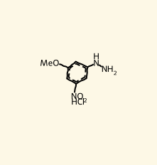 COc1cc(NN)cc([N+](=O)[O-])c1.Cl